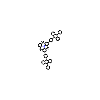 CC1(C)c2cccc3c2N2c4c1cc(-c1ccc(-c5c6ccccc6c(-c6ccccc6)c6ccccc56)cc1)cc4C(C)(C)c1cc(-c4ccc(-c5c6ccccc6c(-c6ccccc6)c6ccccc56)cc4)cc(c12)C3(C)C